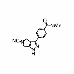 CNC(=O)c1ccc(-c2n[nH]c3c2CN(C#N)C3)cc1